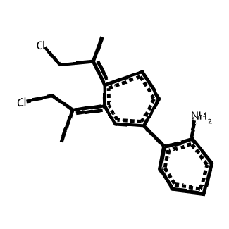 CC(CCl)=c1ccc(-c2ccccc2N)cc1=C(C)CCl